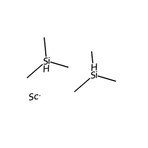 C[SiH](C)C.C[SiH](C)C.[Sc]